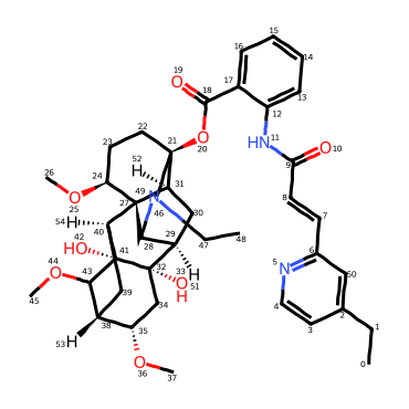 CCc1ccnc(/C=C/C(=O)Nc2ccccc2C(=O)O[C@@]23CC[C@H](OC)[C@]45C([C@@H](C[C@H]24)[C@@]2(O)C[C@H](OC)[C@H]4C[C@@H]5[C@]2(O)C4OC)N(CC)C3)c1